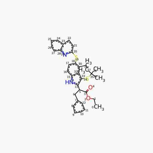 CCOC(=O)C(Cc1ccccc1)c1[nH]c2ccc(Sc3ccc4ccccc4n3)c(C)c2c1SC(C)(C)C